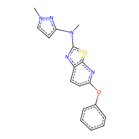 CN(c1ccn(C)n1)c1nc2ccc(Oc3ccccc3)nc2s1